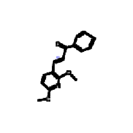 COc1ccc(/C=C/C(=O)c2ccccc2)c(OC)n1